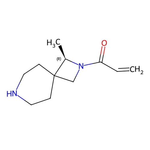 C=CC(=O)N1CC2(CCNCC2)[C@H]1C